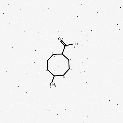 NC1CCCC(C(=O)O)CCC1